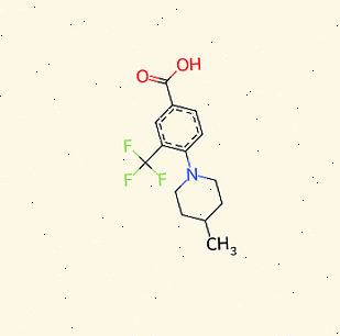 CC1CCN(c2ccc(C(=O)O)cc2C(F)(F)F)CC1